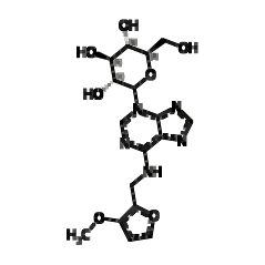 COc1ccoc1CNc1ncn(C2O[C@H](CO)[C@@H](O)[C@H](O)[C@H]2O)c2ncnc1-2